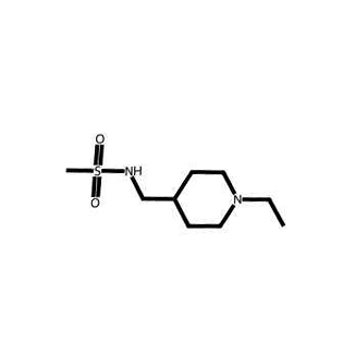 CCN1CCC(CNS(C)(=O)=O)CC1